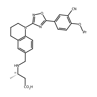 CC(C)Oc1ccc(-c2nc(N3CCCc4cc(CN[C@@H](C)CC(=O)O)ccc43)no2)cc1C#N